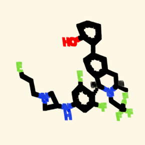 C[C@@H]1Cc2cc(-c3ccccc3O)ccc2[C@@H](c2c(F)cc(NC3CN(CCCF)C3)cc2F)N1CC(F)(F)F